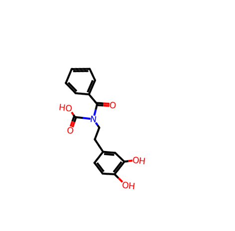 O=C(O)N(CCc1ccc(O)c(O)c1)C(=O)c1ccccc1